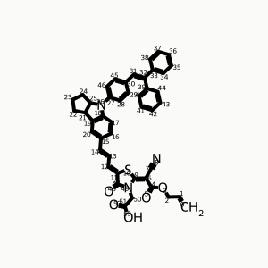 C=CCOC(=O)/C(C#N)=c1/s/c(=C\C=C\c2ccc3c(c2)C2CCCC2N3c2ccc(C=C(c3ccccc3)c3ccccc3)cc2)c(=O)n1CC(=O)O